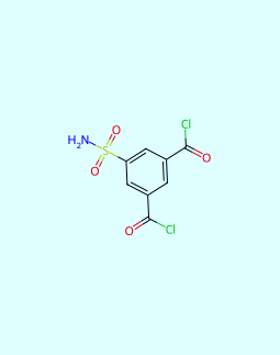 NS(=O)(=O)c1cc(C(=O)Cl)cc(C(=O)Cl)c1